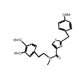 COc1ccc(Cc2nc(C(=O)N(C)CCc3ccc(OC)c(OC)c3)cs2)cc1